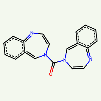 O=C(N1C=CN=c2ccccc2=C1)N1C=CN=c2ccccc2=C1